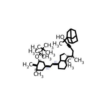 C=C1[C@H](C)C/C(=C/C=C2\CCC[C@@]3(C)C2CC[C@@H]3[C@H](C)CC#CC(C)(O)C23CC4CC(CC(C4)C2)C3)C[C@H]1O[Si](C)(C)C(C)(C)C